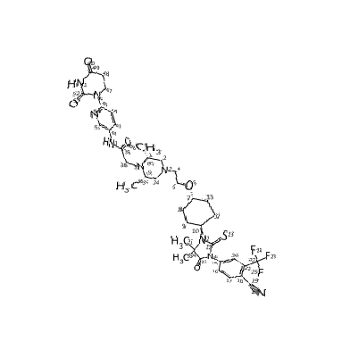 C[C@@H]1CN(CCO[C@H]2CC[C@H](N3C(=S)N(c4ccc(C#N)c(C(F)(F)F)c4)C(=O)C3(C)C)CC2)C[C@H](C)N1CC(=O)Nc1ccc(N2CCC(=O)NC2=O)nc1